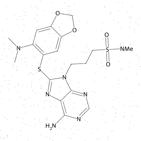 CNS(=O)(=O)CCCn1c(Sc2cc3c(cc2N(C)C)OCO3)nc2c(N)ncnc21